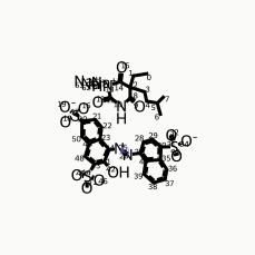 CCC1(CCC(C)C)C(=O)NC(=O)NC1=O.O=S(=O)([O-])c1ccc2c(/N=N/c3ccc(S(=O)(=O)[O-])c4ccccc34)c(O)c(S(=O)(=O)[O-])cc2c1.[Na+].[Na+].[Na+]